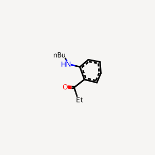 CCCCNc1ccccc1C(=O)CC